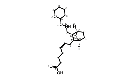 O=C(O)CCC/C=C\C[C@H]1[C@@H](CNOC2CCCCO2)[C@H]2CC[C@@H]1O2